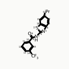 CC(C)c1ccc2nc(NC(=O)c3cccc(C(F)(F)F)c3)sc2c1